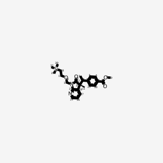 COC(=O)c1ccc(C(C)[C@@]2(C)C(=O)N(COCC[Si](C)(C)C)c3ncccc32)cc1